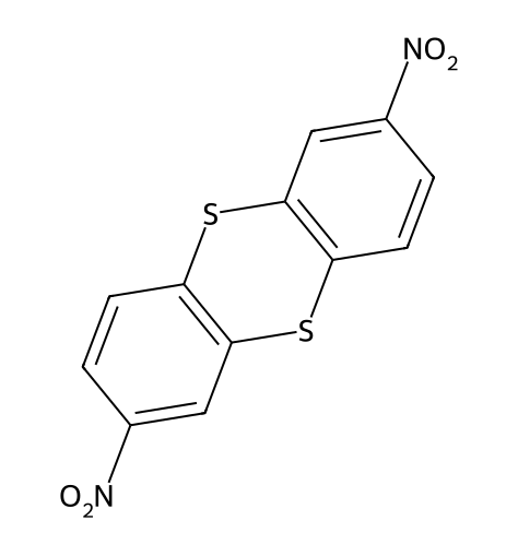 O=[N+]([O-])c1ccc2c(c1)Sc1ccc([N+](=O)[O-])cc1S2